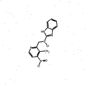 Cc1c([N+](=O)[O-])ccnc1C[S+]([O-])c1nc2ccccc2[nH]1